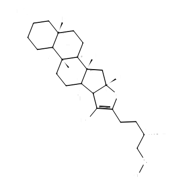 CC1=C(CC[C@H](C)CNC(C)C)O[C@H]2C[C@H]3[C@@H]4CC[C@H]5C[C@@H](O)CC[C@]5(C)[C@H]4CC[C@]3(C)C12